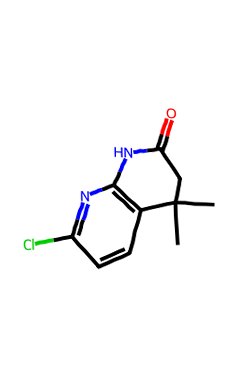 CC1(C)CC(=O)Nc2nc(Cl)ccc21